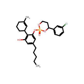 CCCCCc1cc(O)c(C2C=C(C)CCC2)c(OP2(=O)OCCC(c3cccc(Cl)c3)O2)c1